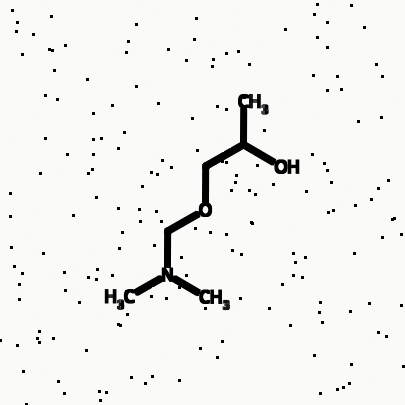 CC(O)COCN(C)C